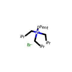 CCCCC[N+](CC(C)C)(CC(C)C)CC(C)C.[Br-]